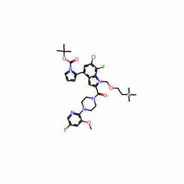 COc1cc(F)cnc1N1CCN(C(=O)c2cc3c(-c4cccn4C(=O)OC(C)(C)C)cc(Cl)c(F)c3n2COCC[Si](C)(C)C)CC1